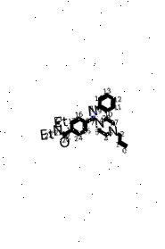 C=CCN1CCN(/C(=N\c2ccccc2)c2ccc(C(=O)N(CC)CC)cc2)CC1